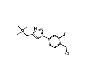 C[Si](C)(C)Cc1cn(-c2ccc(CCl)c(F)c2)nn1